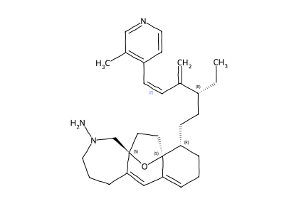 C=C(/C=C\c1ccncc1C)[C@H](CC)CC[C@@H]1CCC=C2C=C3CCCN(N)C[C@]34CC[C@@]21O4